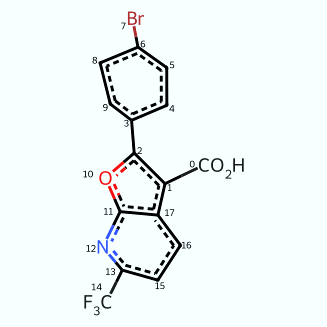 O=C(O)c1c(-c2ccc(Br)cc2)oc2nc(C(F)(F)F)ccc12